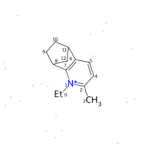 CC[n+]1c(C)ccc2c1C1CCC2C1